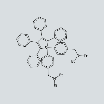 CCN(CC)Cc1ccc([Si]2(c3ccc(CN(CC)CC)cc3)C(c3ccccc3)=C(c3ccccc3)C(c3ccccc3)=C2c2ccccc2)cc1